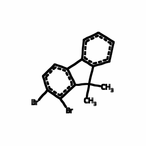 CC1(C)c2ccccc2-c2ccc(Br)c(Br)c21